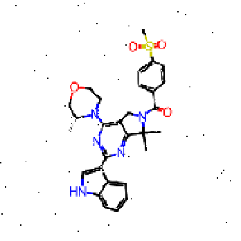 C[C@@H]1COCCN1c1nc(-c2c[nH]c3ccccc23)nc2c1CN(C(=O)c1ccc(S(C)(=O)=O)cc1)C2(C)C